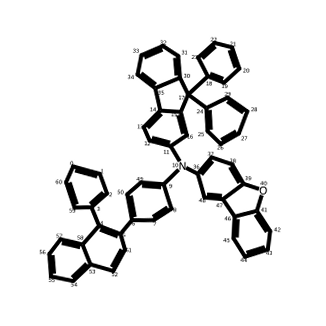 c1ccc(-c2c(-c3ccc(N(c4ccc5c(c4)C(c4ccccc4)(c4ccccc4)c4ccccc4-5)c4ccc5oc6ccccc6c5c4)cc3)ccc3ccccc23)cc1